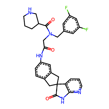 O=C(CN(Cc1cc(F)cc(F)c1)C(=O)C1CCCNC1)Nc1ccc2c(c1)CC1(C2)C(=O)Nc2ncccc21